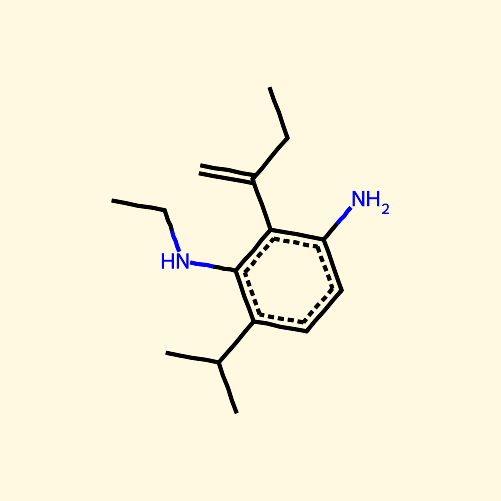 C=C(CC)c1c(N)ccc(C(C)C)c1NCC